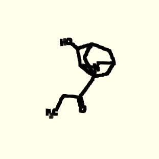 O=C(CC(F)(F)F)N1CC2CC3CC(C2)C1C3O